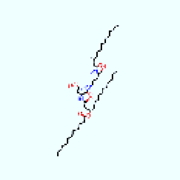 CCCCCCCCCCCC(=O)O[C@H](CCCCCCCCCCC)CC(=O)N[C@@H](CCO)C(=O)NCCC[C@H](CO)NC(=O)C[C@H](C)CCCCCCCCCCC